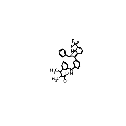 CC(C(=O)O)C(C)c1cccc(Nc2cccc(-c3c4cccc(C(F)(F)F)c4nn3Cc3ccccc3)c2)c1